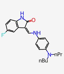 CCCCN(CCC)c1ccc(NC=C2C(=O)Nc3ccc(F)cc32)cc1